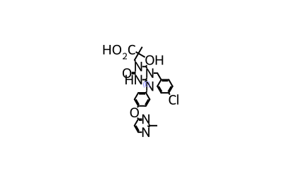 Cc1nccc(Oc2ccc(/N=C3\NC(=O)N(CC(C)(C)C(=O)O)C(O)N3Cc3ccc(Cl)cc3)cc2)n1